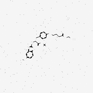 CCOC(=O)CCCOc1ccc(C[C@H](Nc2nc3cc(OC)ccc3[nH]2)C(=O)OC(C)(C)C)cc1